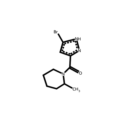 CC1CCCCN1C(=O)c1cc(Br)[nH]n1